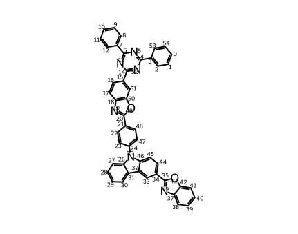 c1ccc(-c2nc(-c3ccccc3)nc(-c3ccc4nc(-c5ccc(-n6c7ccccc7c7cc(-c8nc9ccccc9o8)ccc76)cc5)oc4c3)n2)cc1